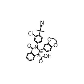 CC(C)(C#N)c1ccc(N2C(=O)c3ccccc3[C@@H](C(=O)O)[C@@H]2c2ccc3c(c2)OCCO3)cc1Cl